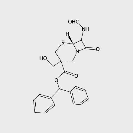 O=CNC1C(=O)N2CC(CO)(C(=O)OC(c3ccccc3)c3ccccc3)CS[C@H]12